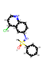 CS(=O)(=Nc1ccc2nccc(Cl)c2c1)c1ccccc1